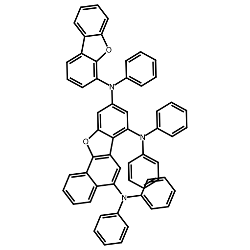 c1ccc(N(c2ccccc2)c2cc3c(oc4cc(N(c5ccccc5)c5cccc6c5oc5ccccc56)cc(N(c5ccccc5)c5ccccc5)c43)c3ccccc23)cc1